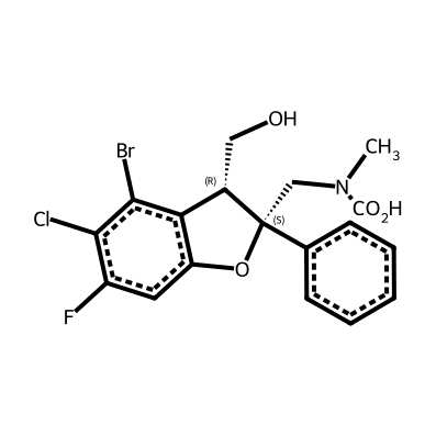 CN(C[C@]1(c2ccccc2)Oc2cc(F)c(Cl)c(Br)c2[C@@H]1CO)C(=O)O